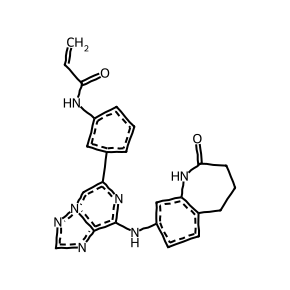 C=CC(=O)Nc1cccc(-c2cn3ncnc3c(Nc3ccc4c(c3)NC(=O)CCC4)n2)c1